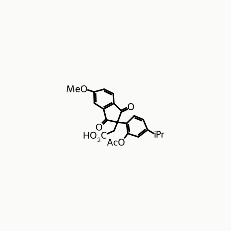 COc1ccc2c(c1)C(=O)C(CC(=O)O)(c1ccc(C(C)C)cc1OC(C)=O)C2=O